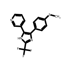 CSc1ccc(-c2nc(C(F)(F)F)[nH]c2-c2cccnc2)cc1